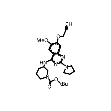 C#CCOc1cc2nc(N3CCCC3)nc(NC3CCCN(C(=O)OC(C)(C)C)C3)c2cc1OC